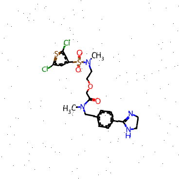 CN(Cc1ccc(C2=NCCN2)cc1)C(=O)COCCN(C)S(=O)(=O)c1cc(Cl)sc1Cl